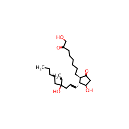 C=CC(O)(CC=C[C@H]1[C@H](O)CC(=O)[C@@H]1CCCCCCC(=O)CO)CCCCC